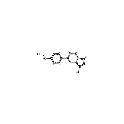 O=COc1ccc(-c2cn3c(I)cnc3cn2)cc1